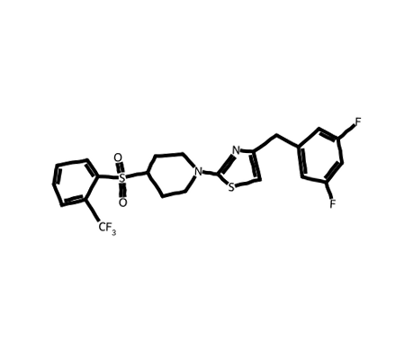 O=S(=O)(c1ccccc1C(F)(F)F)C1CCN(c2nc(Cc3cc(F)cc(F)c3)cs2)CC1